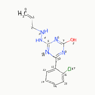 C=CCNNc1nc(O)nc(-c2ccccc2Cl)n1